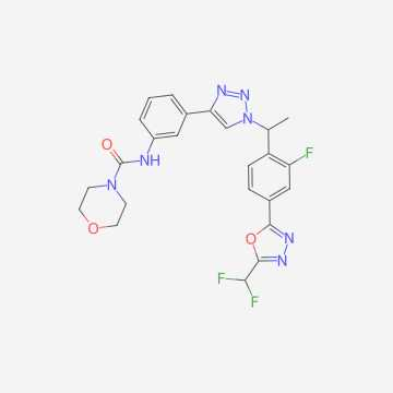 CC(c1ccc(-c2nnc(C(F)F)o2)cc1F)n1cc(-c2cccc(NC(=O)N3CCOCC3)c2)nn1